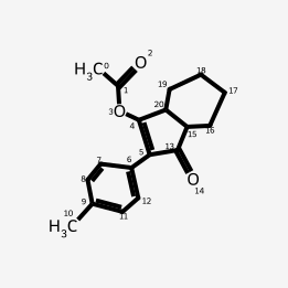 CC(=O)OC1=C(c2ccc(C)cc2)C(=O)C2CCCCC12